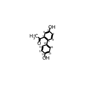 CC(=O)c1cc(O)ccc1-c1ccc(O)cc1